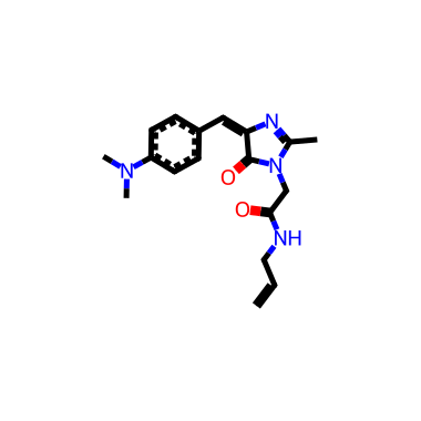 C=CCNC(=O)CN1C(=O)/C(=C\c2ccc(N(C)C)cc2)N=C1C